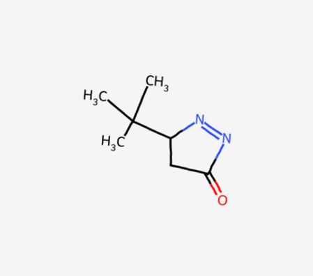 CC(C)(C)C1CC(=O)N=N1